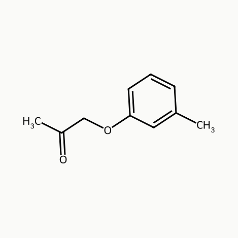 CC(=O)COc1cccc(C)c1